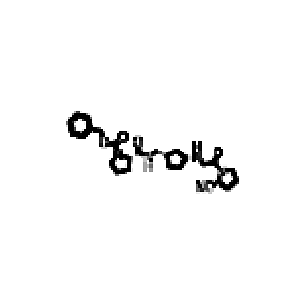 N#C[C@@H]1CCCN1C(=O)CN[C@@H]1CC[C@H](CNC(=O)[C@@H]2CCCN2C(=O)OCc2ccccc2)C1